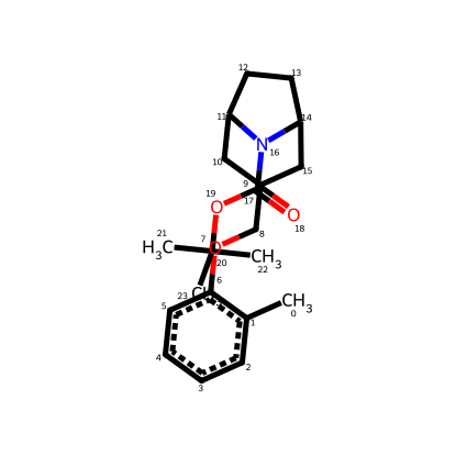 Cc1ccccc1OCC1CC2CCC(C1)N2C(=O)OC(C)(C)C